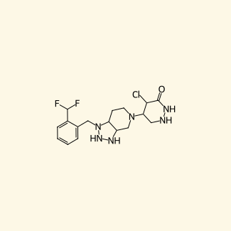 O=C1NNCC(N2CCC3C(C2)NNN3Cc2ccccc2C(F)F)C1Cl